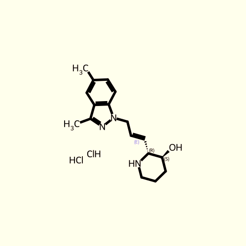 Cc1ccc2c(c1)c(C)nn2C/C=C/[C@H]1NCCC[C@@H]1O.Cl.Cl